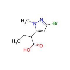 CCC(C(=O)O)c1cc(Br)nn1C